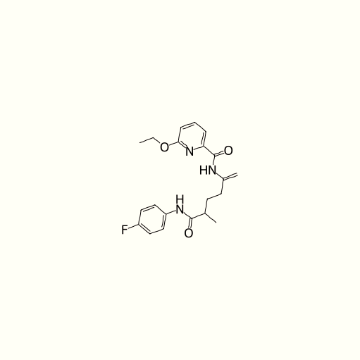 C=C(CCC(C)C(=O)Nc1ccc(F)cc1)NC(=O)c1cccc(OCC)n1